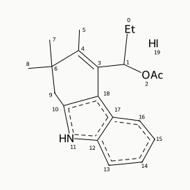 CCC(OC(C)=O)C1=C(C)C(C)(C)Cc2[nH]c3ccccc3c21.I